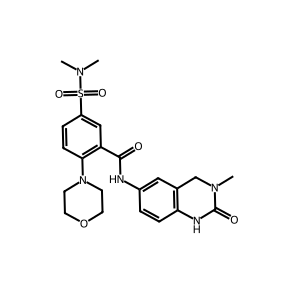 CN1Cc2cc(NC(=O)c3cc(S(=O)(=O)N(C)C)ccc3N3CCOCC3)ccc2NC1=O